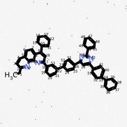 CCc1ccc2ccc3c(-c4ccccc4)cc(-c4cccc(-c5ccc(-c6cc(-c7ccc(-c8ccccc8)cc7)nc(-c7ccccc7)n6)cc5)c4)nc3c2n1